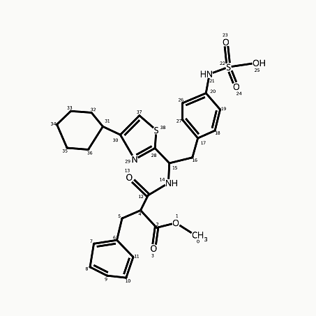 COC(=O)C(Cc1ccccc1)C(=O)NC(Cc1ccc(NS(=O)(=O)O)cc1)c1nc(C2CCCCC2)cs1